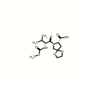 COC(=O)N[C@@H](C(=O)N1CC2(C[C@H]1C(=O)O)OCCO2)C(C)C